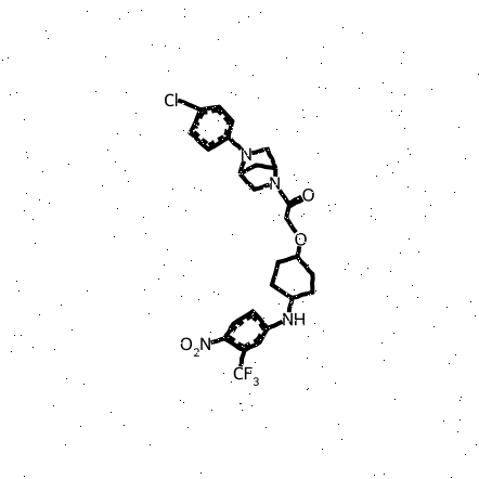 O=C(COC1CCC(Nc2ccc([N+](=O)[O-])c(C(F)(F)F)c2)CC1)N1CC2CC1CN2c1ccc(Cl)cc1